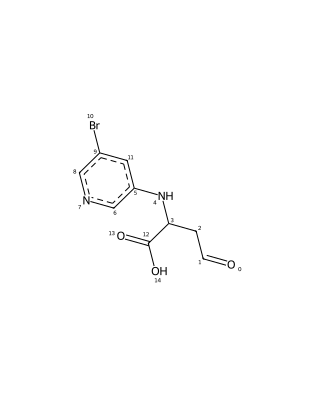 O=CCC(Nc1cncc(Br)c1)C(=O)O